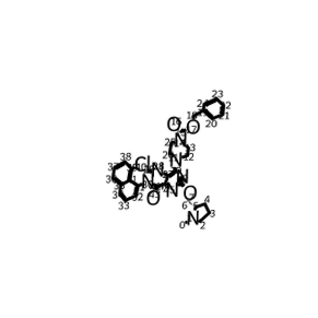 CN1CCC[C@H]1COc1nc(N2CCN(C(=O)OCc3ccccc3)CC2)c2ncn(-c3cccc4cccc(Cl)c34)c(=O)c2n1